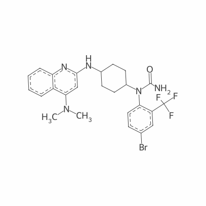 CN(C)c1cc(NC2CCC(N(C(N)=O)c3ccc(Br)cc3C(F)(F)F)CC2)nc2ccccc12